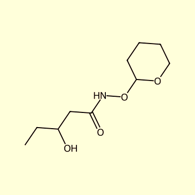 CCC(O)CC(=O)NOC1CCCCO1